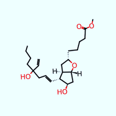 C=CC(O)(CC=C[C@@H]1[C@H]2C[C@H](CCCCC(=O)OC)O[C@@H]2C[C@H]1O)CCCC